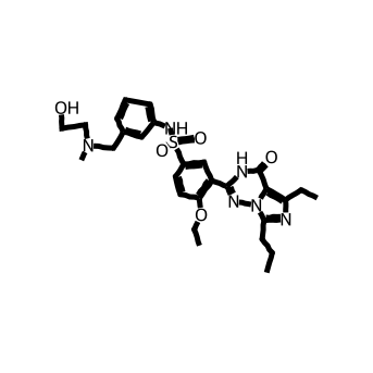 CCCc1nc(CC)c2c(=O)[nH]c(-c3cc(S(=O)(=O)Nc4cccc(CN(C)CCO)c4)ccc3OCC)nn12